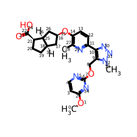 COc1ccnc(OCc2c(-c3ccc(O[C@H]4C[C@H]5CC[C@@H](C(=O)O)[C@H]5C4)c(C)n3)nnn2C)n1